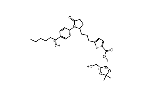 CCCCC[C@H](O)c1ccc(N2C(=O)CCC2CCCc2ccc(C(=O)OC[C@@H]3OC(C)(C)O[C@H]3CO)s2)cc1